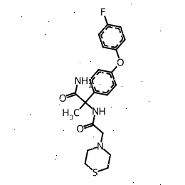 CC(NC(=O)CN1CCSCC1)(C(N)=O)c1ccc(Oc2ccc(F)cc2)cc1